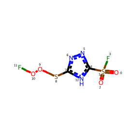 O=S(=O)(F)c1nnc(SOOF)[nH]1